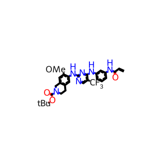 C=CC(=O)Nc1cccc(Nc2nc(Nc3cc4c(cc3OC)CN(C(=O)OC(C)(C)C)CC4)ncc2C(F)(F)F)c1